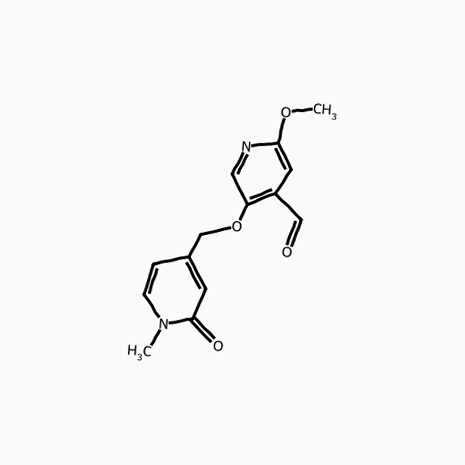 COc1cc(C=O)c(OCc2ccn(C)c(=O)c2)cn1